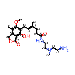 COc1c(C)c2c(c(O)c1C/C=C(\C)CCC(=O)NCCN(C)CCN)C(=O)OC2